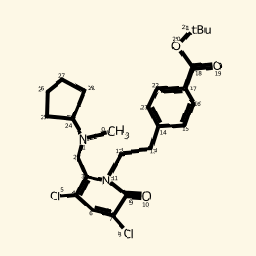 CN(Cc1c(Cl)cc(Cl)c(=O)n1CCc1ccc(C(=O)OC(C)(C)C)cc1)C1CCCC1